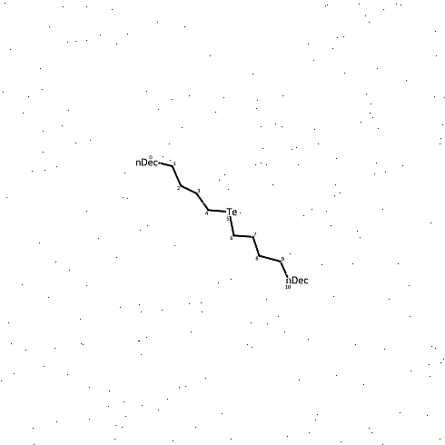 CCCCCCCCCCCCCC[Te]CCCCCCCCCCCCCC